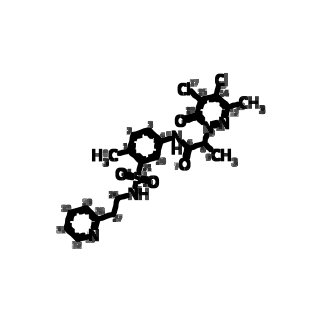 Cc1ccc(NC(=O)C(C)n2nc(C)c(Cl)c(Cl)c2=O)cc1S(=O)(=O)NCCc1ccccn1